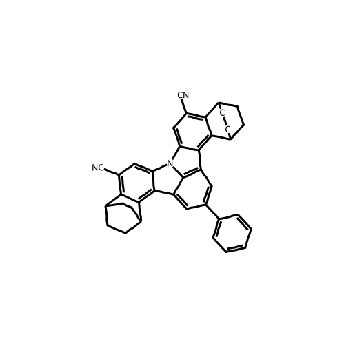 N#Cc1cc2c(c3c1C1CCC3CC1)c1cc(-c3ccccc3)cc3c4c5c(c(C#N)cc4n2c13)C1CCC5CC1